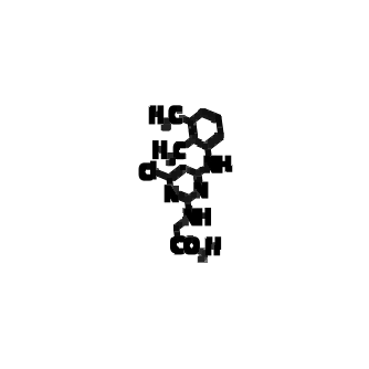 Cc1cccc(Nc2cc(Cl)nc(NCC(=O)O)n2)c1C